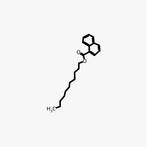 CCCCCCCCCCCOC(=O)c1cccc2ccccc12